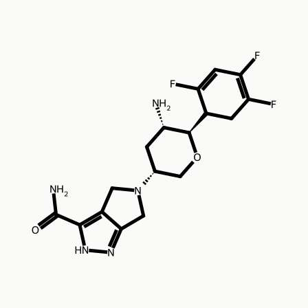 NC(=O)c1[nH]nc2c1CN([C@H]1CO[C@H](C3CC(F)=C(F)C=C3F)[C@@H](N)C1)C2